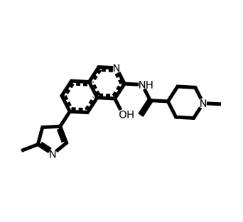 C=C(Nc1ncc2ccc(C3=CN=C(C)C3)cc2c1O)C1CCN(C)CC1